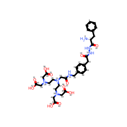 N[C@H](Cc1ccccc1)C(=O)NNC(=O)Cc1ccc(CNC(=O)CN(CCN(CC(=O)O)CC(=O)O)CCN(CC(=O)O)CC(=O)O)cc1